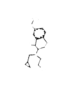 CCCN(CC1CC1)C1CCc2ccc(OC)cc2C1C